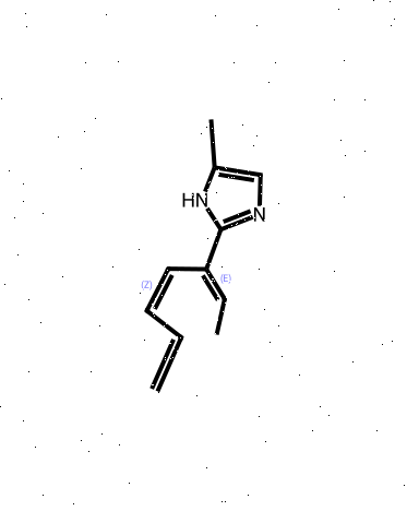 C=C/C=C\C(=C/C)c1ncc(C)[nH]1